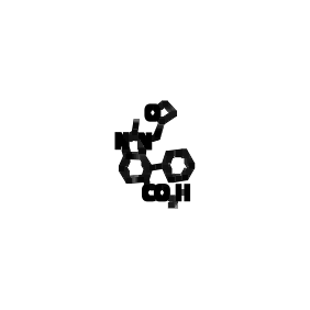 Cc1nc2ccc(C(=O)O)c(-c3ccccc3)c2n1C[C@@H]1CCO1